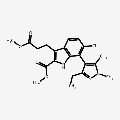 CCc1nn(C)c(C)c1-c1c(Cl)ccc2c(CCC(=O)OC)c(C(=O)OC)[nH]c12